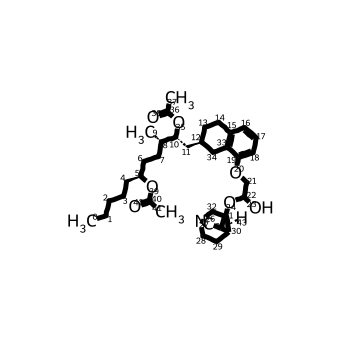 CCCCC[C@@H](CC[C@H](C)[C@@H](C[C@H]1CCc2cccc(OCC(O)O[C@@H]3CN4CCC3CC4)c2C1)OC(C)=O)OC(C)=O